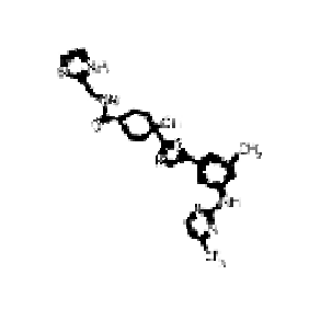 Cc1cc(Nc2nccc(C(F)(F)F)n2)cc(-c2cnc([C@]3(O)CC[C@@H](C(=O)NCc4ncc[nH]4)CC3)s2)c1